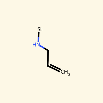 C=CCN[Si]